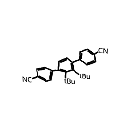 CC(C)(C)c1c(-c2ccc(C#N)cc2)ccc(-c2ccc(C#N)cc2)c1C(C)(C)C